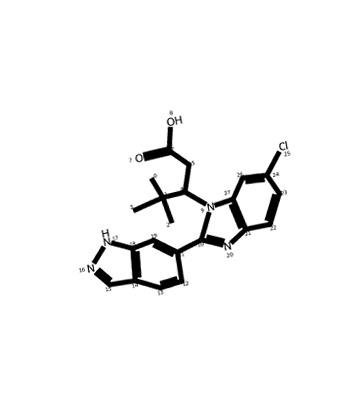 CC(C)(C)C(CC(=O)O)n1c(-c2ccc3cn[nH]c3c2)nc2ccc(Cl)cc21